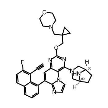 C#Cc1c(F)ccc2cccc(-c3cc4nc(OCC5(CN6CCOCC6)CC5)nc(N5C[C@H]6CC[C@@H](C5)N6)c4n4ccnc34)c12